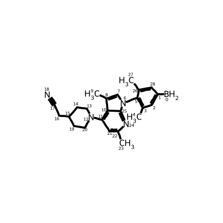 Bc1cc(C)c(-n2cc(C)c3c(N4CCC(CC#N)CC4)cc(C)nc32)c(C)c1